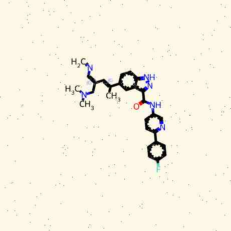 C=N/C=C(\C=C(/C)c1ccc2[nH]nc(C(=O)Nc3ccc(-c4ccc(F)cc4)nc3)c2c1)CN(C)C